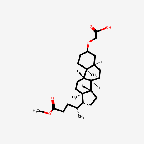 COC(=O)CC[C@@H](C)[C@H]1CC[C@H]2[C@@H]3CC[C@@H]4C[C@H](OCC(=O)O)CC[C@]4(C)[C@H]3CC[C@]12C